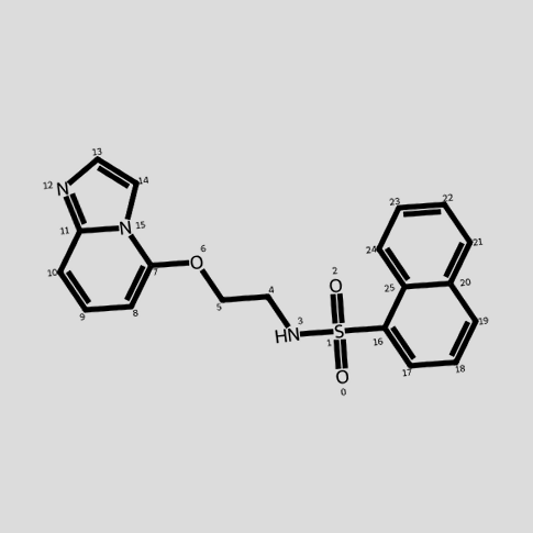 O=S(=O)(NCCOc1cccc2nccn12)c1cccc2ccccc12